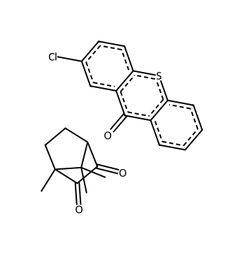 CC12CCC(C(=O)C1=O)C2(C)C.O=c1c2ccccc2sc2ccc(Cl)cc12